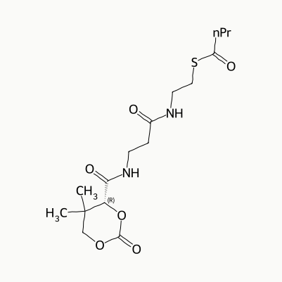 CCCC(=O)SCCNC(=O)CCNC(=O)[C@@H]1OC(=O)OCC1(C)C